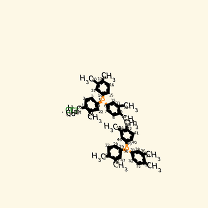 Cc1ccc(P(c2ccc(C)c(C)c2)c2ccc(C)c(C)c2)cc1C.Cc1ccc(P(c2ccc(C)c(C)c2)c2ccc(C)c(C)c2)cc1C.[Cl-].[Cl-].[Co+2]